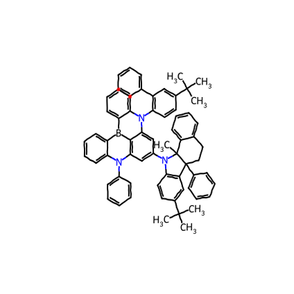 CC(C)(C)c1ccc(N2c3ccccc3B3c4ccccc4N(c4ccccc4)c4cc(N5c6ccc(C(C)(C)C)cc6C6(c7ccccc7)CCc7ccccc7C56C)cc2c43)c(-c2ccccc2)c1